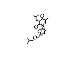 CC1=CN([C@H]2C=C[C@@H](COCC(C)C)O2)C(=O)C(CC(C)C)C1=O